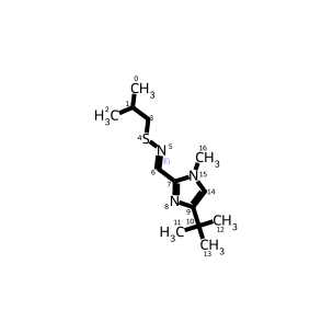 CC(C)CS/N=C/c1nc(C(C)(C)C)cn1C